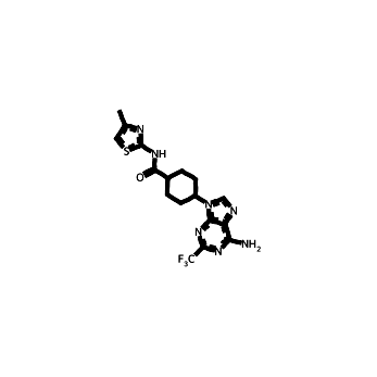 Cc1csc(NC(=O)C2CCC(n3cnc4c(N)nc(C(F)(F)F)nc43)CC2)n1